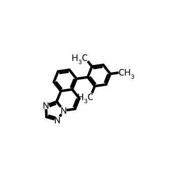 Cc1cc(C)c(-c2cccc3c2ccn2ncnc32)c(C)c1